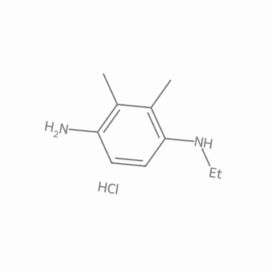 CCNc1ccc(N)c(C)c1C.Cl